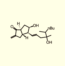 C=C1C[C@H]2[C@H](/C=C/CC(C)(O)C(C)CCCC)[C@H](O)C[C@@H]2C1=O